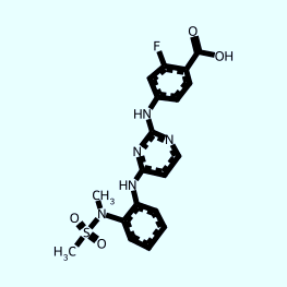 CN(c1ccccc1Nc1ccnc(Nc2ccc(C(=O)O)c(F)c2)n1)S(C)(=O)=O